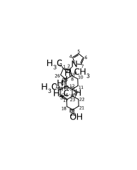 CC1=C(n2cccc2)[C@@]2(C)CC[C@H]3[C@@H]([C@@H](C)C=C4C[C@@H](O)CC[C@@]43C)[C@@H]2C1